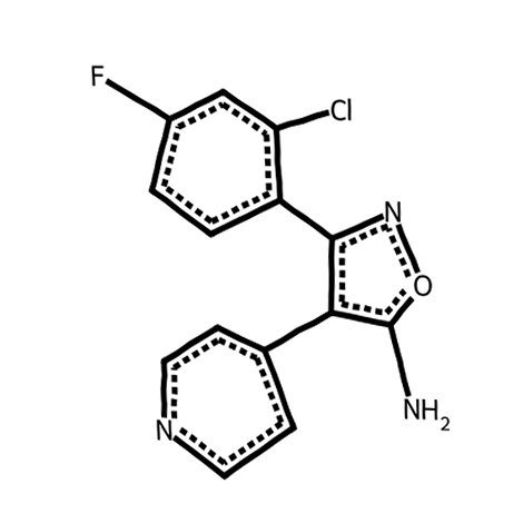 Nc1onc(-c2ccc(F)cc2Cl)c1-c1ccncc1